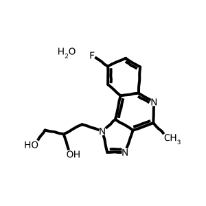 Cc1nc2ccc(F)cc2c2c1ncn2CC(O)CO.O